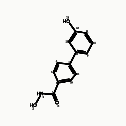 O=C(NO)c1ccc(-c2cccc(O)c2)cc1